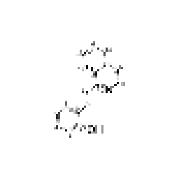 Oc1ccccc1C=Cc1nccc2ccccc12